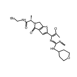 C=N/C(=N\C(=C(/C)Cl)c1cc2c(s1)CN([C@H](C)C(=O)NCC(C)(C)C)C2=O)NC1CCOCC1